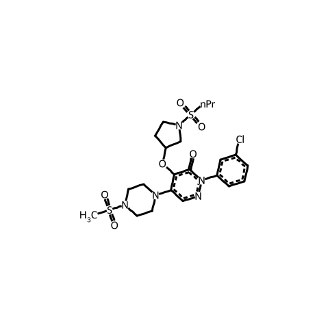 CCCS(=O)(=O)N1CCC(Oc2c(N3CCN(S(C)(=O)=O)CC3)cnn(-c3cccc(Cl)c3)c2=O)C1